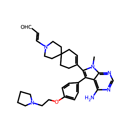 Cn1c(C2=CCC3(CC2)CCN(C=CC=O)CC3)c(-c2ccc(OCCN3CCCC3)cc2)c2c(N)ncnc21